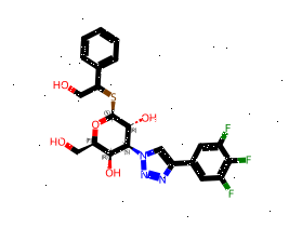 OCC(S[C@@H]1O[C@H](CO)[C@H](O)[C@H](n2cc(-c3cc(F)c(F)c(F)c3)nn2)[C@H]1O)c1ccccc1